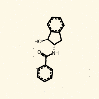 O=C(N[C@H]1Cc2ccccc2[C@@H]1O)c1[c]cccc1